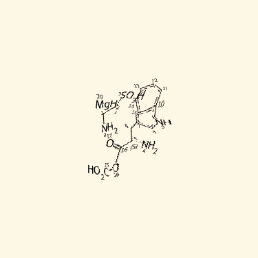 NCCS(=O)(=O)O.N[C@@H](Cc1c[nH]c2ccccc12)C(=O)OC(=O)O.[MgH2]